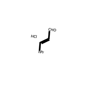 CCC/C=C/C=O.Cl